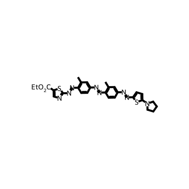 CCOC(=O)c1cnc(/N=N/c2ccc(/N=N/c3ccc(/N=N/c4ccc(N5CCCC5)s4)cc3C)cc2C)s1